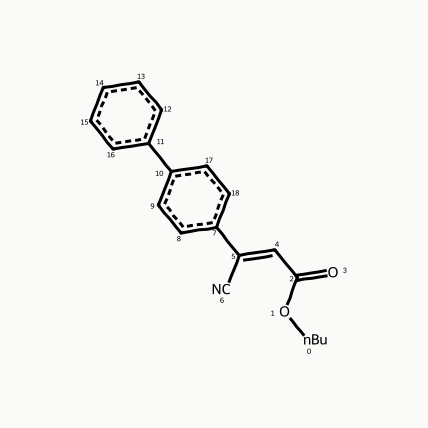 CCCCOC(=O)C=C(C#N)c1ccc(-c2ccccc2)cc1